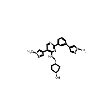 Cn1cc(-c2cccc(-c3ncc(-c4cnn(C)c4)c(NC[C@H]4CC[C@H](O)CC4)n3)c2)cn1